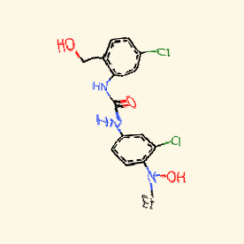 CCN(O)c1ccc(NC(=O)Nc2cc(Cl)ccc2CO)cc1Cl